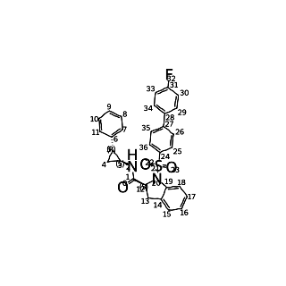 O=C(N[C@H]1C[C@@H]1c1ccccc1)[C@@H]1Cc2ccccc2N1S(=O)(=O)c1ccc(-c2ccc(F)cc2)cc1